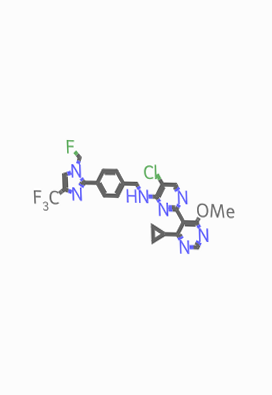 COc1ncnc(C2CC2)c1-c1ncc(Cl)c(NCc2ccc(-c3nc(C(F)(F)F)cn3CF)cc2)n1